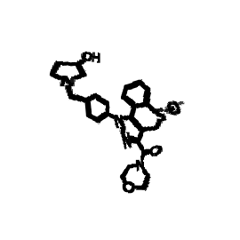 O=C(c1nn(-c2ccc(CN3CCC(O)C3)cc2)c2c1C[S+]([O-])c1ccccc1-2)N1CCOCC1